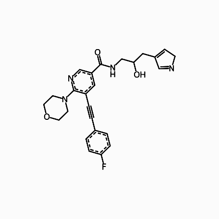 O=C(NCC(O)CC1=CCN=C1)c1cnc(N2CCOCC2)c(C#Cc2ccc(F)cc2)c1